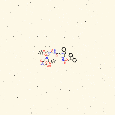 C[C@@H](C(=O)O)N(C)C(=O)CCN(CCO[Si](C)(C)C(C)(C)C)C(=O)CN(CCO[Si](C)(C)C(C)(C)C)C(=O)CNC(=O)CCn1c(CN(C)N(C)C(=O)OCC2c3ccccc3-c3ccccc32)cc2ccccc21